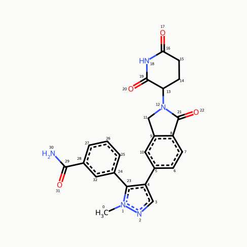 Cn1ncc(-c2ccc3c(c2)CN(C2CCC(=O)NC2=O)C3=O)c1-c1cccc(C(N)=O)c1